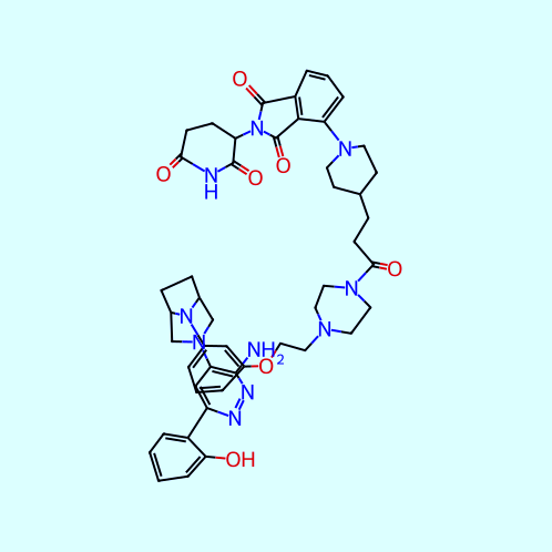 Nc1nnc(-c2ccccc2O)cc1N1CC2CCC(C1)N2c1cccc(OCCN2CCN(C(=O)CCC3CCN(c4cccc5c4C(=O)N(C4CCC(=O)NC4=O)C5=O)CC3)CC2)c1